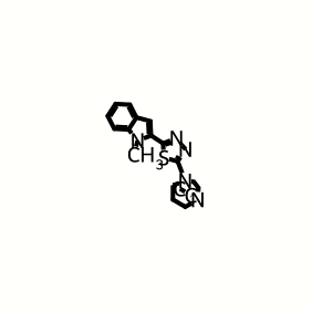 Cn1c(-c2nnc(N3CCN4CCC3CC4)s2)cc2ccccc21